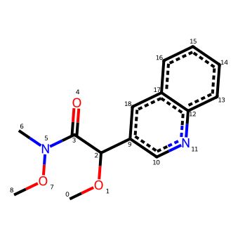 COC(C(=O)N(C)OC)c1cnc2ccccc2c1